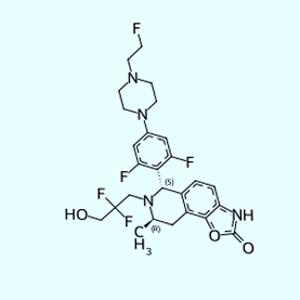 C[C@@H]1Cc2c(ccc3[nH]c(=O)oc23)[C@@H](c2c(F)cc(N3CCN(CCF)CC3)cc2F)N1CC(F)(F)CO